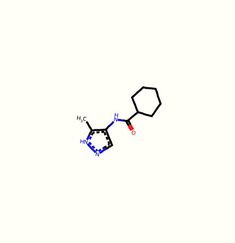 Cc1[nH]ncc1NC(=O)C1CCCCC1